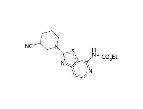 CCOC(=O)Nc1nccc2nc(N3CCCC(C#N)C3)sc12